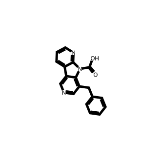 O=C(O)n1c2ncccc2c2cncc(Cc3ccccc3)c21